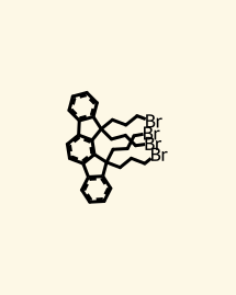 BrCCCC1(CCCBr)c2ccccc2-c2ccc3c(c21)C(CCCBr)(CCCBr)c1ccccc1-3